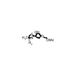 COCCOc1ccc(C2=NC(C)(C)CS2)c(O)c1